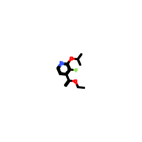 C=C(OCC)c1ccnc(OC(C)C)c1F